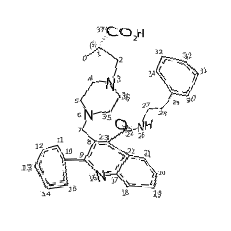 C[C@@H](CN1CCN(Cc2c(-c3ccccc3)nc3ccccc3c2C(=O)NCCc2ccccc2)CC1)C(=O)O